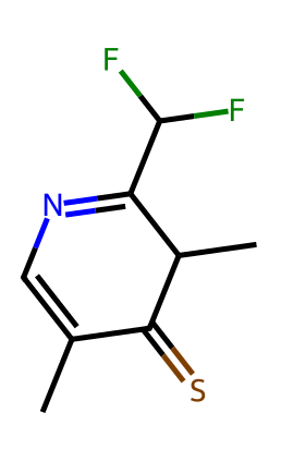 CC1=CN=C(C(F)F)C(C)C1=S